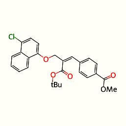 COC(=O)c1ccc(C=C(COc2ccc(Cl)c3ccccc23)C(=O)OC(C)(C)C)cc1